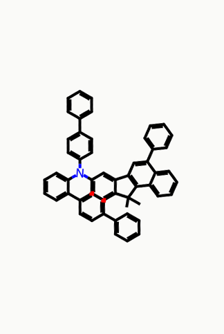 CC1(C)c2ccc(N(c3ccc(-c4ccccc4)cc3)c3ccccc3-c3ccc(-c4ccccc4)cc3)cc2-c2cc(-c3ccccc3)c3ccccc3c21